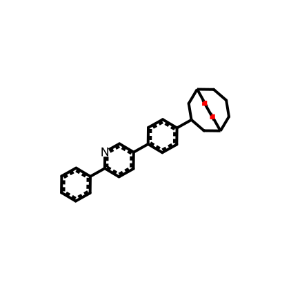 c1ccc(-c2ccc(-c3ccc(C4CC5CCCCC(CCC5)C4)cc3)cn2)cc1